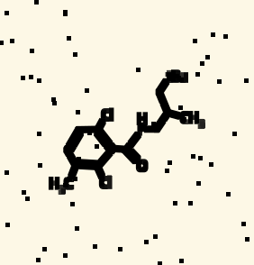 Cc1ccc(Cl)c(C(=O)PCC(C)CC(C)(C)C)c1Cl